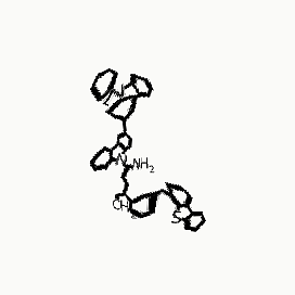 C=C/C(=C\C=C(/N)N1c2ccc(-c3ccc4c(c3)c3ccccc3n4-c3ccccc3)cc2C2C=CC=CC21)c1cccc(-c2cccc3c2sc2ccccc23)c1